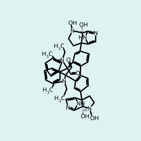 CCN(CC)C(C=O)(c1ccccc1)c1cc(C23CCN(O)[C@@]2(O)c2ncc3[nH]2)ccc1-c1ccc(C23CCN(O)[C@@]2(O)c2ncc3[nH]2)cc1C(C=O)(c1ccccc1)N(CC)CC